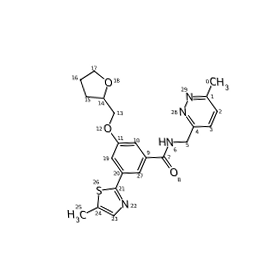 Cc1ccc(CNC(=O)c2cc(OCC3CCCO3)cc(-c3ncc(C)s3)c2)nn1